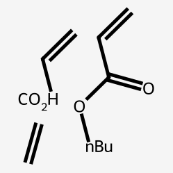 C=C.C=CC(=O)O.C=CC(=O)OCCCC